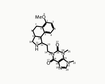 COc1cccc2c1CCC1CNC(CCn3c(=O)c4ncn(C)c4n(C)c3=O)C21